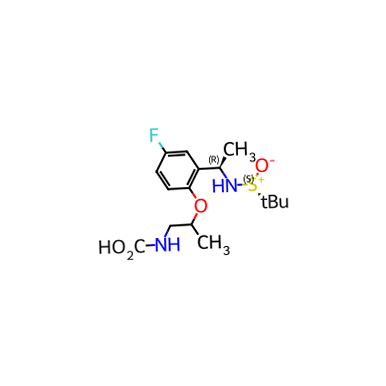 CC(CNC(=O)O)Oc1ccc(F)cc1[C@@H](C)N[S@+]([O-])C(C)(C)C